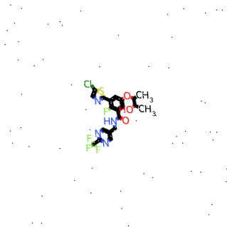 CC(O)C(C)Oc1cc(C(=O)NCc2cnc(C(F)(F)F)nc2)c(F)c(-c2ncc(Cl)s2)c1